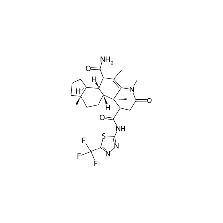 CC1=C2N(C)C(=O)CC(C(=O)Nc3nnc(C(F)(F)F)s3)[C@]2(C)[C@@H]2CC[C@]3(C)CCC[C@H]3[C@@H]2C1C(N)=O